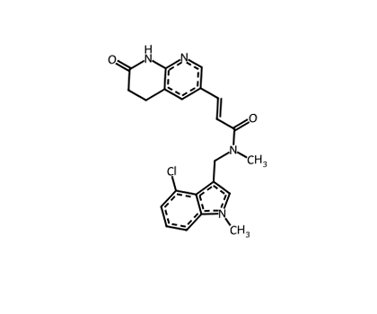 CN(Cc1cn(C)c2cccc(Cl)c12)C(=O)C=Cc1cnc2c(c1)CCC(=O)N2